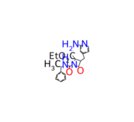 CCOC(=O)C1C(Cc2ccnc(N)c2)C(=O)N1C(=O)NC(C)c1ccccc1